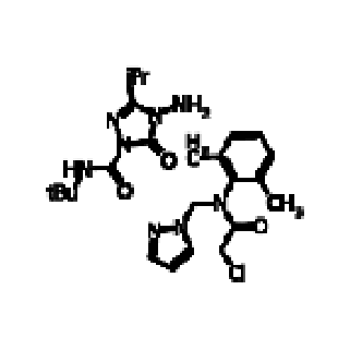 CC(C)c1nn(C(=O)NC(C)(C)C)c(=O)n1N.Cc1cccc(C)c1N(Cn1cccn1)C(=O)CCl